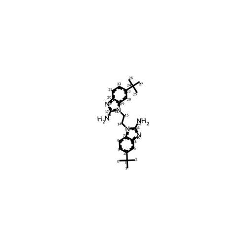 CC(C)(C)c1ccc2c(c1)nc(N)n2CCn1c(N)nc2ccc(C(C)(C)C)cc21